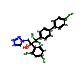 OC(Cn1cnnn1)(c1ccc(F)cc1F)C(F)(F)c1ccc(-c2ccc(F)cc2)cc1